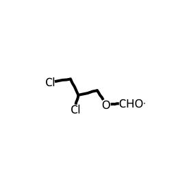 O=[C]OCC(Cl)CCl